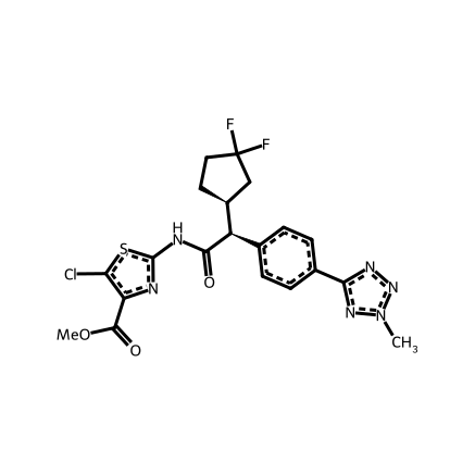 COC(=O)c1nc(NC(=O)[C@H](c2ccc(-c3nnn(C)n3)cc2)[C@H]2CCC(F)(F)C2)sc1Cl